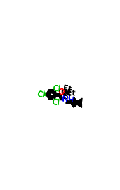 CC[Si](CC)(CC)OC(CNCC1CC2(CC2)C1)c1c(Cl)cc(Cl)cc1Cl